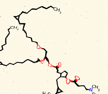 CCCCCCCCC1CC1CCCCCCCCOCC(COC(=O)CC1CCC(OC(=O)CCCN(C)C)C1CC1CC1CC)OCCCCCCCCC1CC1CCCCCCCC